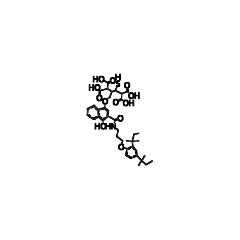 CCC(C)(C)c1ccc(OCCCNC(=O)c2cc(OCC(C(C(=O)O)C(=O)O)C(S)C(C(=O)O)C(=O)O)c3ccccc3c2O)c(C(C)(C)CC)c1